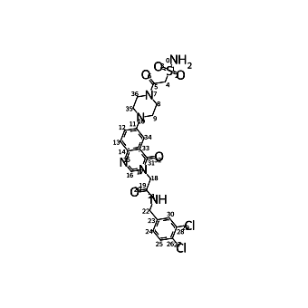 NS(=O)(=O)CC(=O)N1CCN(c2ccc3ncn(CC(=O)NCc4ccc(Cl)c(Cl)c4)c(=O)c3c2)CC1